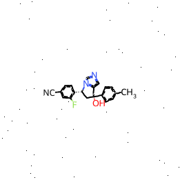 Cc1ccc([C@@]2(O)C[C@H](c3ccc(C#N)cc3F)n3cncc32)cc1